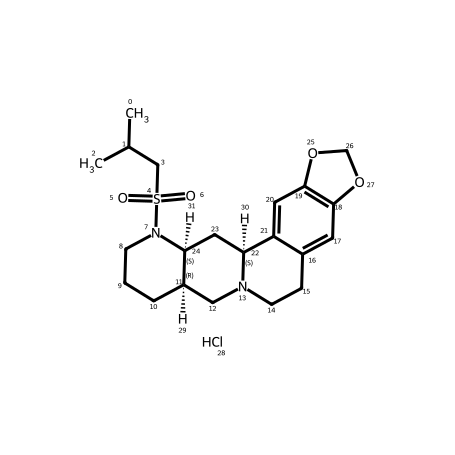 CC(C)CS(=O)(=O)N1CCC[C@@H]2CN3CCc4cc5c(cc4[C@@H]3C[C@@H]21)OCO5.Cl